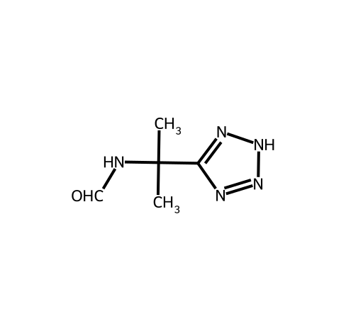 CC(C)(NC=O)c1nn[nH]n1